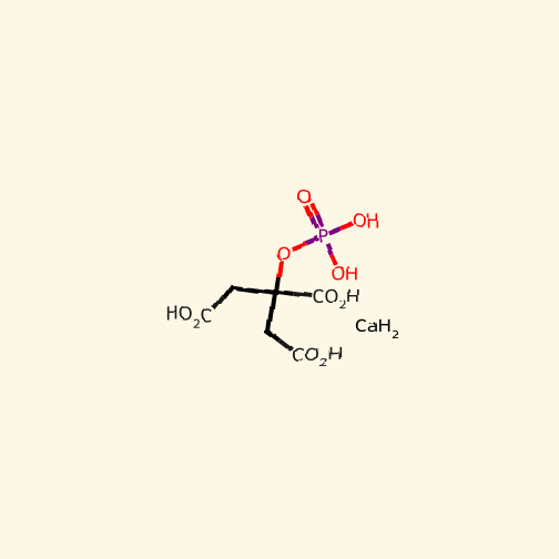 O=C(O)CC(CC(=O)O)(OP(=O)(O)O)C(=O)O.[CaH2]